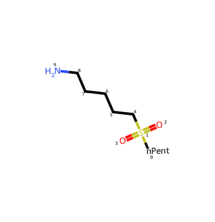 CCCCCS(=O)(=O)CCCCCN